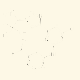 Cc1cc(Nc2cc(C(F)F)ccn2)nc(-c2cn(C(C)C(C)(O)CO)nn2)c1